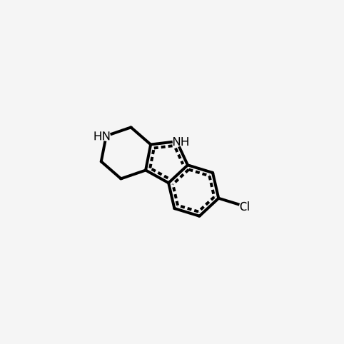 Clc1ccc2c3c([nH]c2c1)CNCC3